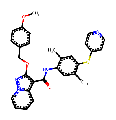 COc1ccc(COc2nn3ccccc3c2C(=O)Nc2cc(C)c(Sc3ccncc3)cc2C)cc1